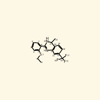 CCSc1ccccc1C1=Nc2cc(C(F)(F)F)ccc2C(C)N1